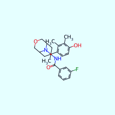 Cc1c(O)ccc(C(C)N2C3COCC2CC(NC(=O)c2cccc(F)c2)C3)c1C